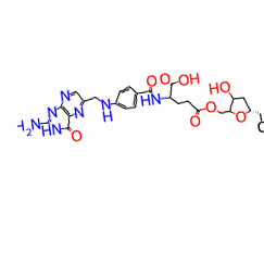 CC[C@H]1CC(O)C(COC(=O)CCC(NC(=O)c2ccc(NCc3cnc4nc(N)[nH]c(=O)c4n3)cc2)C(=O)O)O1